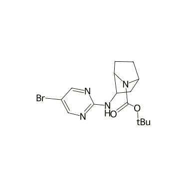 CC(C)(C)OC(=O)N1C2CCC1C(Nc1ncc(Br)cn1)C2